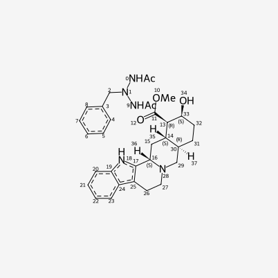 CC(=O)NN(Cc1ccccc1)NC(C)=O.COC(=O)[C@@H]1[C@H]2C[C@H]3c4[nH]c5ccccc5c4CCN3C[C@@H]2CC[C@@H]1O